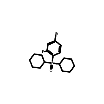 O=P(c1ccc(Br)cc1F)(C1CCCCC1)C1CCCCC1